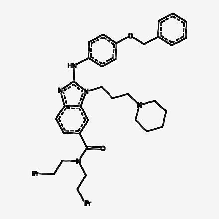 CC(C)CCN(CCC(C)C)C(=O)c1ccc2nc(Nc3ccc(OCc4ccccc4)cc3)n(CCCN3CCCCC3)c2c1